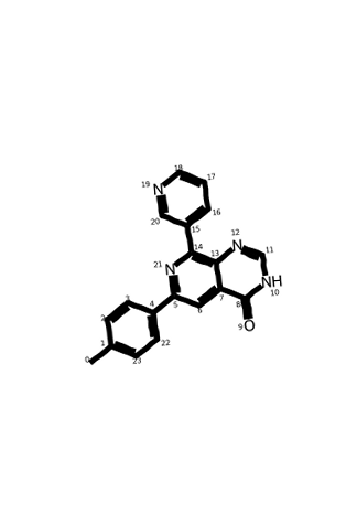 Cc1ccc(-c2cc3c(=O)[nH]cnc3c(-c3cccnc3)n2)cc1